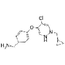 NCc1ccc(OC2=CNN(CC3CC3)C=C2Cl)cc1